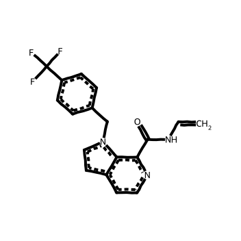 C=CNC(=O)c1nccc2ccn(Cc3ccc(C(F)(F)F)cc3)c12